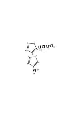 C1=CCC=C1.C1=CCC=C1.[Cl-].[Cl-].[Cl-].[Cl-].[Pt+4]